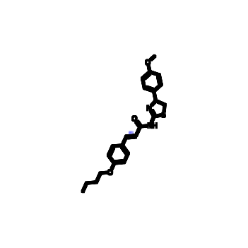 CCCCOc1ccc(/C=C/C(=O)NC2=NC(c3ccc(OC)cc3)CS2)cc1